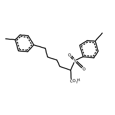 Cc1ccc(CCCCC(C(=O)O)S(=O)(=O)c2ccc(C)cc2)cc1